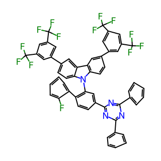 Fc1ccccc1-c1ccc(-c2nc(-c3ccccc3)nc(-c3ccccc3)n2)cc1-n1c2ccc(-c3cc(C(F)(F)F)cc(C(F)(F)F)c3)cc2c2cc(-c3cc(C(F)(F)F)cc(C(F)(F)F)c3)ccc21